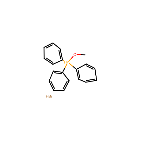 Br.CO[PH](c1ccccc1)(c1ccccc1)c1ccccc1